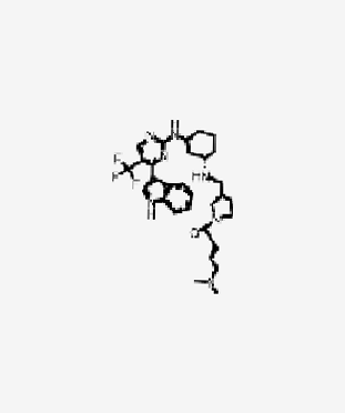 CN(C)C/C=C/C(=O)N1CCC(CN[C@H]2CCCC(Nc3ncc(C(F)(F)F)c(-c4c[nH]c5ccccc45)n3)C2)C1